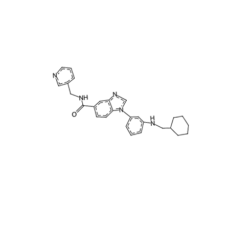 O=C(NCc1cccnc1)c1ccc2c(c1)ncn2-c1cccc(NCC2CCCCC2)c1